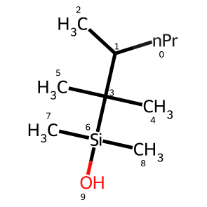 CCCC(C)C(C)(C)[Si](C)(C)O